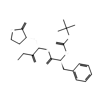 CC(C)(C)OC(=O)N[C@@H](Cc1ccccc1)C(=O)N[C@@H](C[C@@H]1CCNC1=O)C(=O)CCl